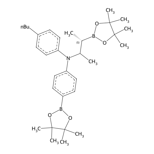 CCCCc1ccc(N(c2ccc(B3OC(C)(C)C(C)(C)O3)cc2)C(C)[C@H](C)B2OC(C)(C)C(C)(C)O2)cc1